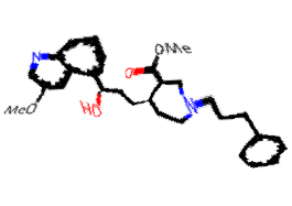 COC(=O)C1CN(CCCc2ccccc2)CC[C@H]1CC[C@@H](O)c1cccc2ncc(OC)cc12